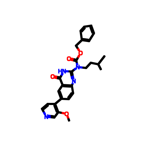 COc1cnccc1-c1ccc2nc(N(CCC(C)C)C(=O)OCc3ccccc3)[nH]c(=O)c2c1